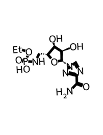 CCOP(=O)(O)NC[C@H]1O[C@@H](n2cnc(C(N)=O)n2)[C@H](O)[C@@H]1O